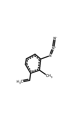 C=Cc1cccc(N=[N+]=[N-])c1C